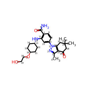 Cc1nn(-c2ccc(C(N)=O)c(N[C@H]3CC[C@H](OCCO)CC3)c2)c2c1C(=O)CC(C)(C)C2